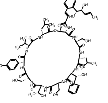 C/C=C/[C@H](O)[C@H](O)c1ccccc1/C=C/C(=O)N[C@@H]1C(=O)N[C@@H](CO)C(=O)N[C@H](CC(C)C)C(=O)N[C@@H]([C@H](O)c2ccccc2)C(=O)N[C@@H](CO)C(=O)N[C@H]([C@@H](C)O)C(=O)N[C@H](CO)C(=O)N[C@H](c2ccc(O)cc2)C(=O)N[C@@H](C(C)C)C(=O)N[C@H](CC(C)C)C(=O)O[C@H]1C